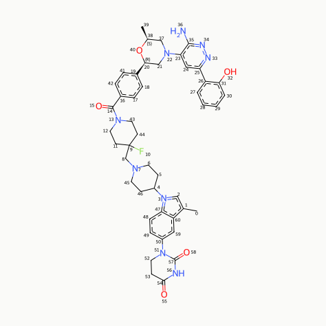 Cc1cn(C2CCN(CC3(F)CCN(C(=O)c4ccc([C@@H]5CN(c6cc(-c7ccccc7O)nnc6N)C[C@H](C)O5)cc4)CC3)CC2)c2ccc(N3CCC(=O)NC3=O)cc12